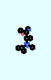 c1ccc(-c2nc(-c3ccc(-c4cc5ncccc5c5c4oc4ccccc45)c4ccccc34)nc(-c3cc4ccccc4c4ccccc34)n2)cc1